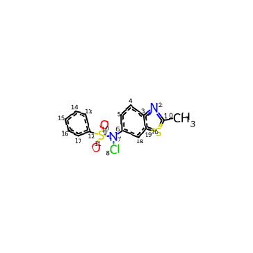 Cc1nc2ccc(N(Cl)S(=O)(=O)c3ccccc3)cc2s1